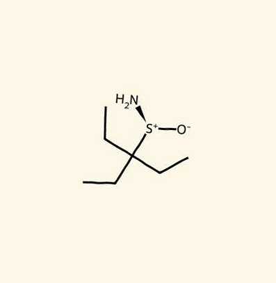 CCC(CC)(CC)[S@@+](N)[O-]